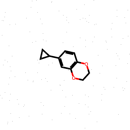 c1cc2c(cc1C1CC1)OCCO2